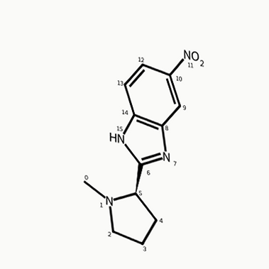 CN1CCC[C@@H]1c1nc2cc([N+](=O)[O-])ccc2[nH]1